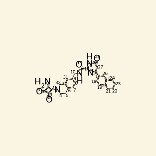 Nc1c(N2CCc3ccc(CNC(=O)c4nc(-c5ccc6ccccc6c5)cc(=O)[nH]4)cc3C2)c(=O)c1=O